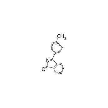 Cc1ccc(C2=NC(=O)c3ccccc32)cc1